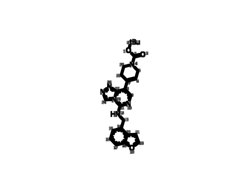 CC(C)(C)OC(=O)N1CC=C(c2cnc(NCc3cccc4occc34)n3cnnc23)CC1